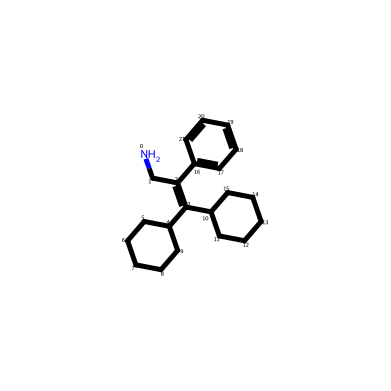 NCC(=C(C1CCCCC1)C1CCCCC1)c1ccccc1